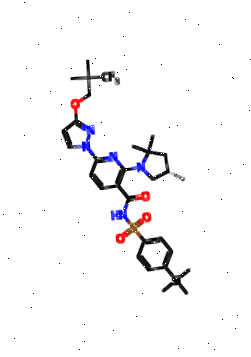 C[C@@H]1CN(c2nc(-n3ccc(OCC(C)(C)C(F)(F)F)n3)ccc2C(=O)NS(=O)(=O)c2ccc([Si](C)(C)C)cc2)C(C)(C)C1